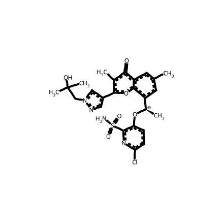 Cc1cc([C@@H](C)Oc2ccc(Cl)nc2S(N)(=O)=O)c2oc(-c3cnn(CC(C)(C)O)c3)c(C)c(=O)c2c1